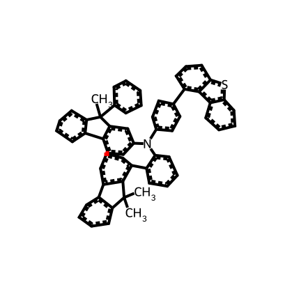 CC1(C)c2ccccc2-c2cccc(-c3ccccc3N(c3ccc(-c4cccc5sc6ccccc6c45)cc3)c3ccc4c(c3)C(C)(c3ccccc3)c3ccccc3-4)c21